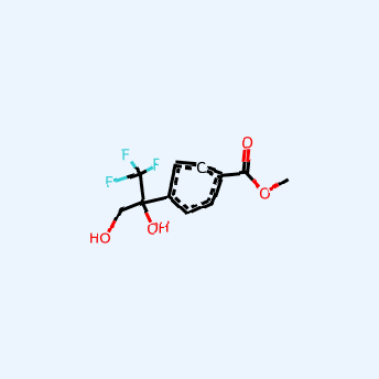 COC(=O)c1ccc(C(O)(CO)C(F)(F)F)cc1